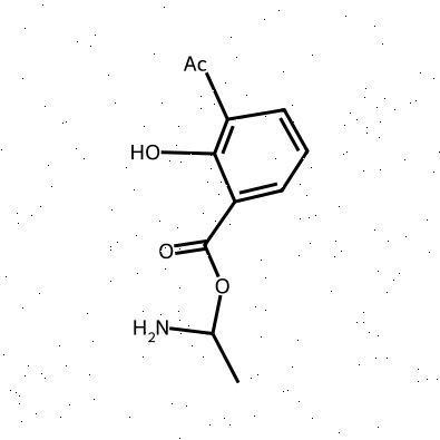 CC(=O)c1cccc(C(=O)OC(C)N)c1O